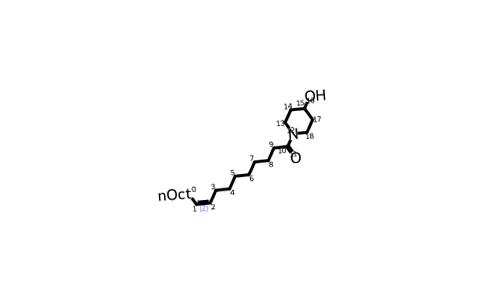 CCCCCCCC/C=C\CCCCCCCC(=O)N1CCC(O)CC1